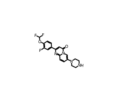 O=c1cc(-c2ccc(OC(F)F)c(F)c2)nc2ccc(N3CCNCC3)cn12